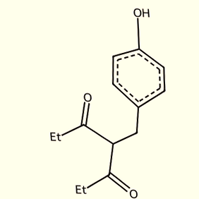 CCC(=O)C(Cc1ccc(O)cc1)C(=O)CC